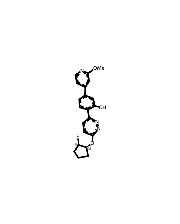 COc1cc(-c2ccc(-c3ccc(O[C@H]4CCC[C@H]4F)nn3)c(O)c2)ccn1